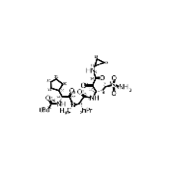 CCC[C@@H](C(=O)N[C@@H](CCS(N)(=O)=O)C(=O)C(=O)NC1CC1)N(C)C(=O)[C@H](NC(=O)C(C)(C)C)C1CCCC1